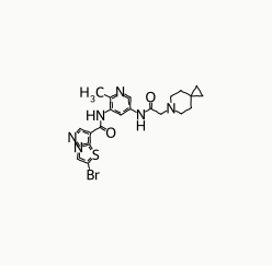 Cc1ncc(NC(=O)CN2CCC3(CC2)CC3)cc1NC(=O)c1cnn2cc(Br)sc12